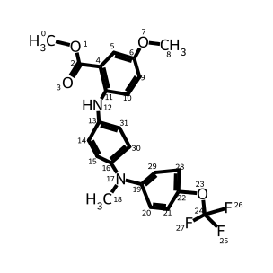 COC(=O)c1cc(OC)ccc1Nc1ccc(N(C)c2ccc(OC(F)(F)F)cc2)cc1